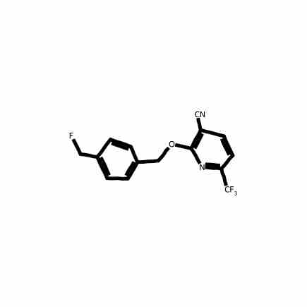 N#Cc1ccc(C(F)(F)F)nc1OCc1ccc(CF)cc1